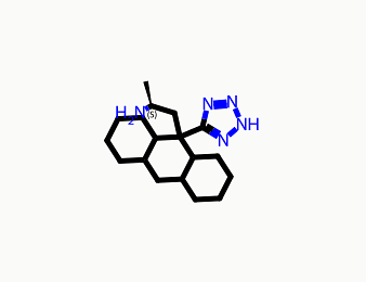 C[C@H](N)CC1(c2nn[nH]n2)C2CCCCC2CC2CCCCC21